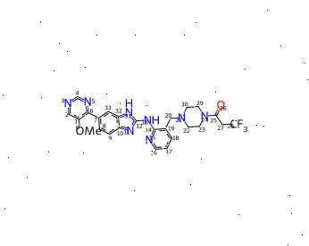 COc1cncnc1-c1ccc2nc(Nc3ncccc3CN3CCN(C(=O)CC(F)(F)F)CC3)[nH]c2c1